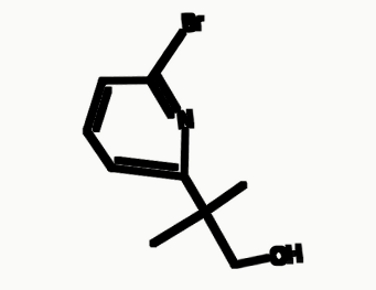 CC(C)(CO)c1cccc(Br)n1